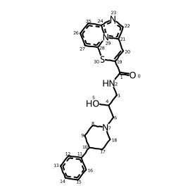 O=C(NCC(O)CN1CCC(c2ccccc2)CC1)C1=Cc2cnc3cccc(n23)S1